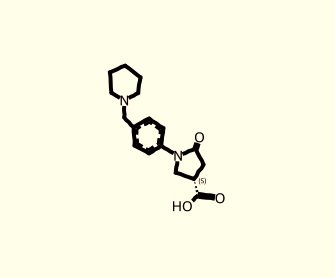 O=C(O)[C@H]1CC(=O)N(c2ccc(CN3CCCCC3)cc2)C1